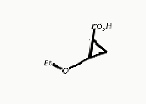 CCOC1C[C]1C(=O)O